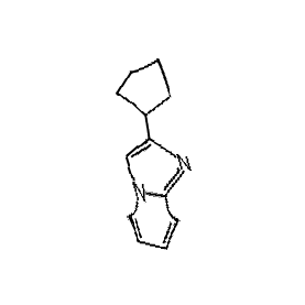 c1ccn2cc(C3CCCC3)nc2c1